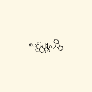 CC(C)(C)[S+]([O-])N1CCc2cnc(NC(=O)OCC3c4ccccc4-c4ccccc43)nc21